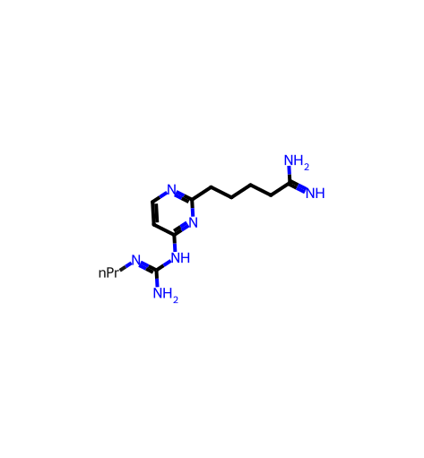 CCCN=C(N)Nc1ccnc(CCCCC(=N)N)n1